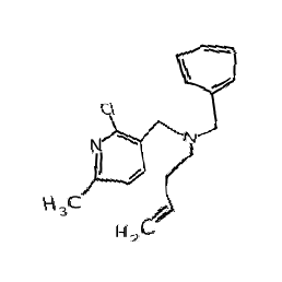 C=CCCN(Cc1ccccc1)Cc1ccc(C)nc1Cl